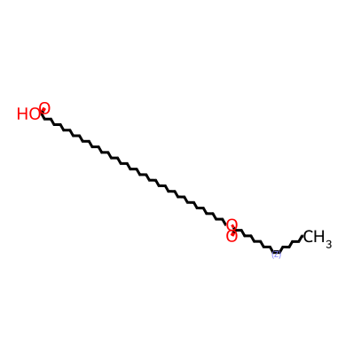 CCCCCC/C=C\CCCCCCCC(=O)OCCCCCCCCCCCCCCCCCCCCCCCCCCCCCCCCCCCCCCCC(=O)O